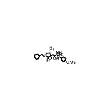 COc1ccc(S(=O)(=O)N(N)C(=O)CC2(CC(C)C)C(=O)N(CCc3ccccc3)CC2C)cc1